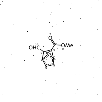 COC(=O)C1c2ccc(s2)C1C=O